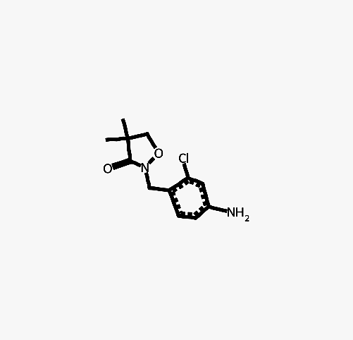 CC1(C)CON(Cc2ccc(N)cc2Cl)C1=O